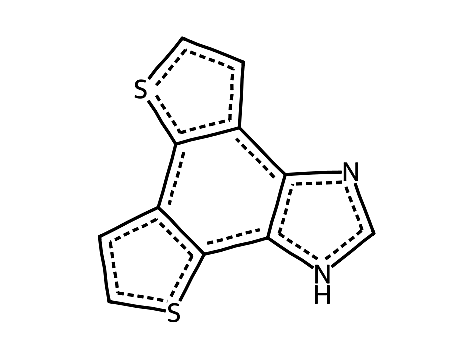 c1nc2c3ccsc3c3ccsc3c2[nH]1